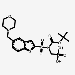 CC(C)(C)OC(=O)N(CP(=O)(O)O)S(=O)(=O)c1cc2cc(CN3CCOCC3)ccc2s1